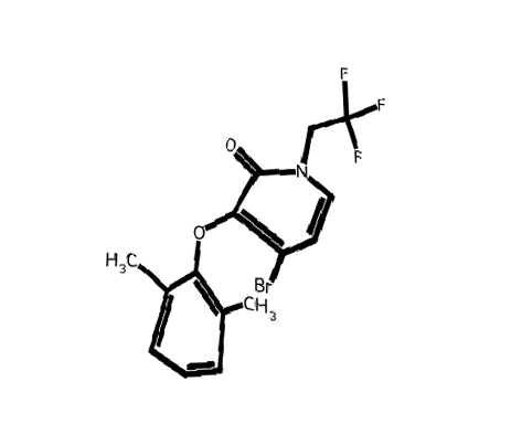 Cc1cccc(C)c1Oc1c(Br)ccn(CC(F)(F)F)c1=O